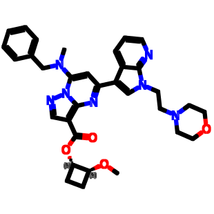 CO[C@H]1CC[C@@H]1OC(=O)c1cnn2c(N(C)Cc3ccccc3)cc(-c3cn(CCN4CCOCC4)c4ncccc34)nc12